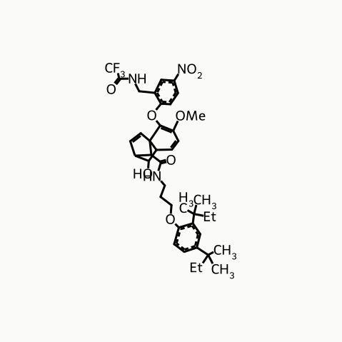 CCC(C)(C)c1ccc(OCCCNC(=O)C2C3C=CC24C(Oc2ccc([N+](=O)[O-])cc2CNC(=O)C(F)(F)F)=C(OC)C=CC4C3O)c(C(C)(C)CC)c1